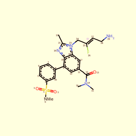 CNS(=O)(=O)c1cccc(-c2cc(C(=O)N(C)C)cc3c2nc(C)n3C/C(F)=C/CN)c1